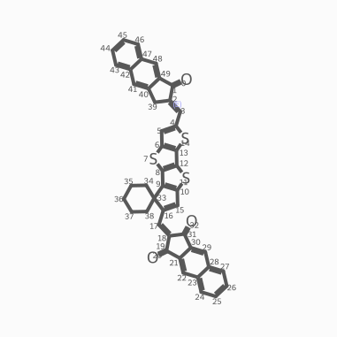 O=C1/C(=C/c2cc3sc4c5c(sc4c3s2)C=C(C=C2C(=O)c3cc4ccccc4cc3C2=O)C52CCCCC2)Cc2cc3ccccc3cc21